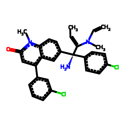 C=CN(C)/C(=C\C)[C@@](N)(c1ccc(Cl)cc1)c1ccc2c(c1)c(-c1cccc(Cl)c1)cc(=O)n2C